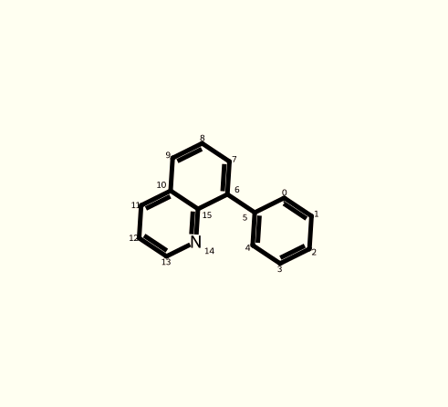 [c]1ccccc1-c1cccc2cccnc12